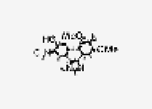 COc1cc(-c2ncn(C)c2-c2ccc(O)c([N+](=O)[O-])c2)cc(OC)c1F